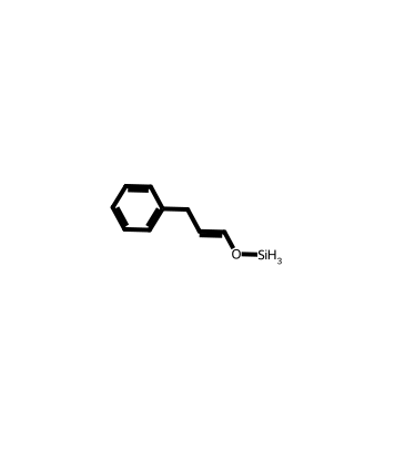 [SiH3]OC=CCc1ccccc1